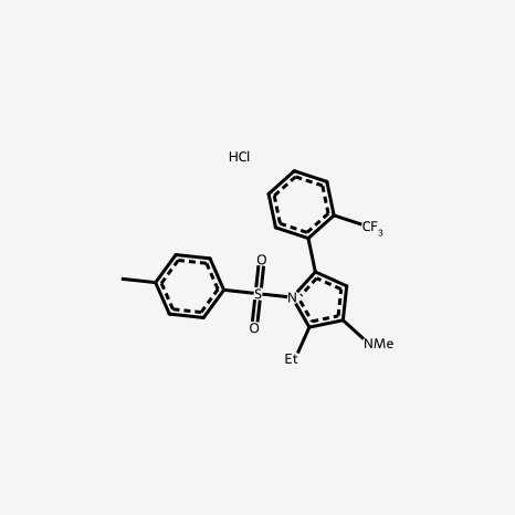 CCc1c(NC)cc(-c2ccccc2C(F)(F)F)n1S(=O)(=O)c1ccc(C)cc1.Cl